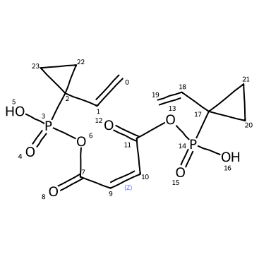 C=CC1(P(=O)(O)OC(=O)/C=C\C(=O)OP(=O)(O)C2(C=C)CC2)CC1